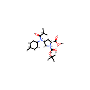 COC(=O)[C@@H]1C[C@H](N(C(=O)C(C)C)C2CCC(C)CC2)CN1C(=O)OC(C)(C)C